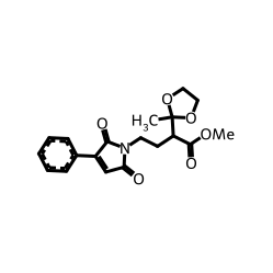 COC(=O)C(CCN1C(=O)C=C(c2ccccc2)C1=O)C1(C)OCCO1